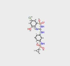 O=S1(=O)NC(Nc2cccc(NS(=O)(=O)C3CC3)c2)=Nc2c(O)cc(Cl)cc21